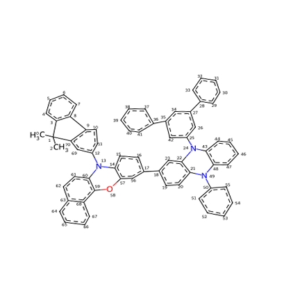 CC1(C)c2ccccc2-c2ccc(N3c4ccc(-c5ccc6c(c5)N(c5cc(-c7ccccc7)cc(-c7ccccc7)c5)c5ccccc5N6c5ccccc5)cc4Oc4c3ccc3ccccc43)cc21